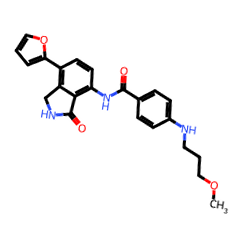 COCCCNc1ccc(C(=O)Nc2ccc(-c3ccco3)c3c2C(=O)NC3)cc1